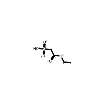 CCOC(=O)[CH]S(=O)(=O)O